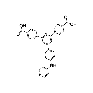 O=C(O)c1ccc(-c2cc(-c3ccc(Nc4ccccc4)cc3)cc(-c3ccc(C(=O)O)cc3)n2)cc1